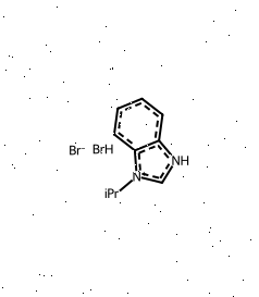 Br.CC(C)[n+]1c[nH]c2ccccc21.[Br-]